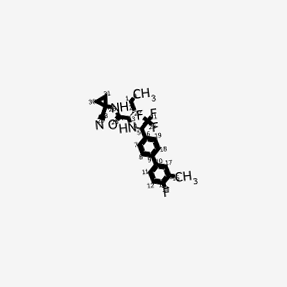 CCC[C@H](N[C@@H](c1ccc(-c2ccc(F)c(C)c2)cc1)C(F)(F)F)C(=O)NC1(C#N)CC1